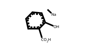 O=C(O)c1ccccc1O.[CH3][Na]